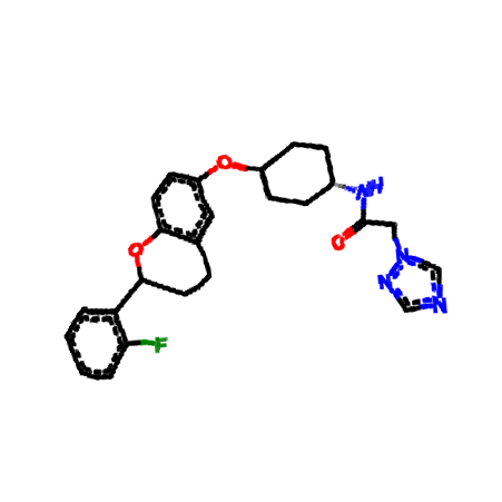 O=C(Cn1cncn1)N[C@H]1CC[C@H](Oc2ccc3c(c2)CCC(c2ccccc2F)O3)CC1